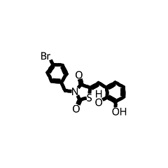 O=C1SC(=Cc2cccc(O)c2O)C(=O)N1Cc1ccc(Br)cc1